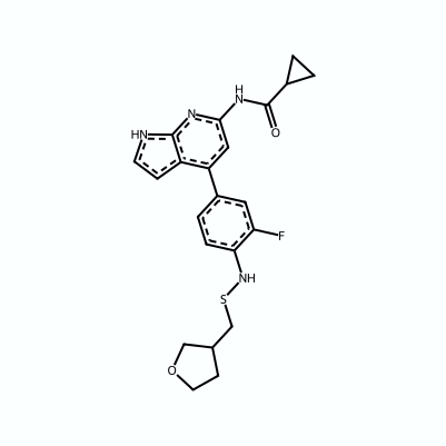 O=C(Nc1cc(-c2ccc(NSCC3CCOC3)c(F)c2)c2cc[nH]c2n1)C1CC1